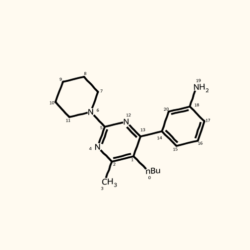 CCCCc1c(C)nc(N2CCCCC2)nc1-c1cccc(N)c1